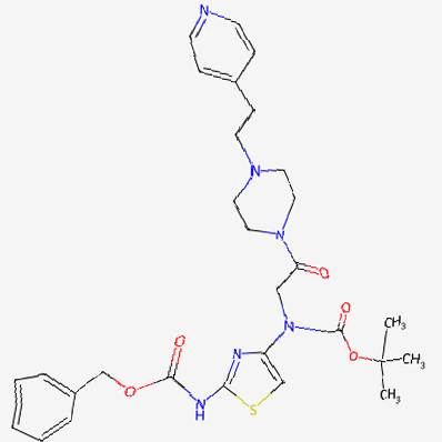 CC(C)(C)OC(=O)N(CC(=O)N1CCN(CCc2ccncc2)CC1)c1csc(NC(=O)OCc2ccccc2)n1